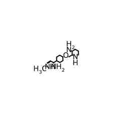 CN/C=C\C(N)C1CCC(OCC2NCCCC2N)CC1